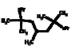 CCCC(C)(C)CN(C)CC(C)(C)CCC